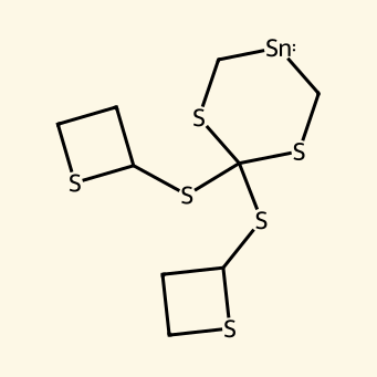 C1CC(SC2(SC3CCS3)S[CH2][Sn][CH2]S2)S1